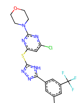 Cc1cc(-c2nnc(Sc3cc(Cl)nc(N4CCOCC4)n3)[nH]2)cc(C(F)(F)F)c1